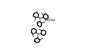 Cc1ccccc1P(c1ccccc1C)c1ccccc1C.Cc1ccccc1P(c1ccccc1C)c1ccccc1C.Cl.[Pd]